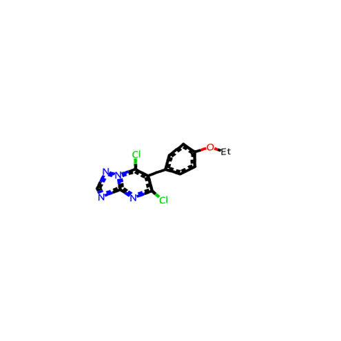 CCOc1ccc(-c2c(Cl)nc3ncnn3c2Cl)cc1